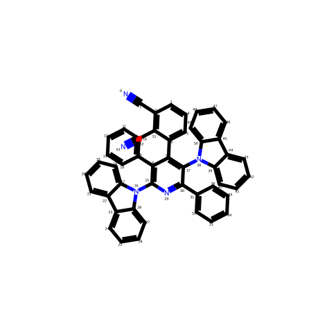 N#Cc1cccc(-c2c(-c3ccccc3)c(-n3c4ccccc4c4ccccc43)nc(-c3ccccc3)c2-n2c3ccccc3c3ccccc32)c1C#N